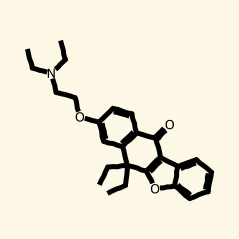 CCN(CC)CCOc1ccc2c(c1)C(CC)(CC)c1oc3ccccc3c1C2=O